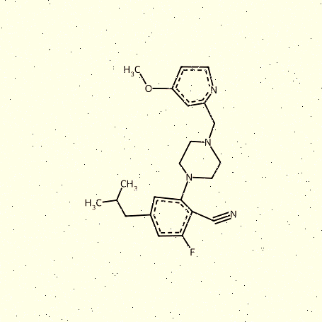 COc1ccnc(CN2CCN(c3cc(CC(C)C)cc(F)c3C#N)CC2)c1